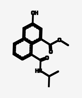 COC(=O)c1cc(O)cc2cccc(C(=O)NC(C)C)c12